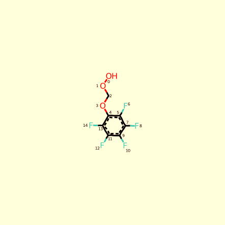 OOCOc1c(F)c(F)c(F)c(F)c1F